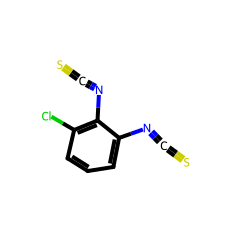 S=C=Nc1cccc(Cl)c1N=C=S